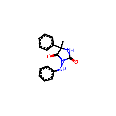 CC1(c2ccccc2)NC(=O)N(Nc2ccccc2)C1=O